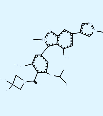 COc1cc(-c2c3c(O)cc(-c4cnn(C)c4)cc3nn2C)cc(OC(F)F)c1C(=O)N1CC(O)(C(F)(F)F)C1